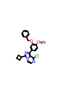 CC(C)Oc1ccc(-c2nc(C3CCC3)n3ccnc(Cl)c23)cc1OCc1ccccc1